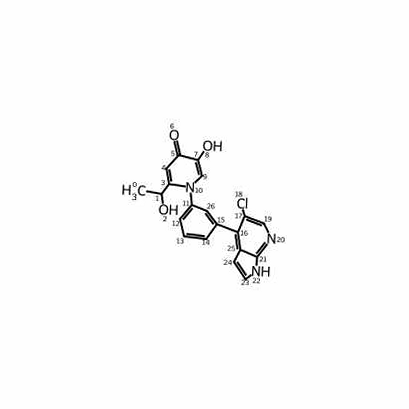 CC(O)c1cc(=O)c(O)cn1-c1cccc(-c2c(Cl)cnc3[nH]ccc23)c1